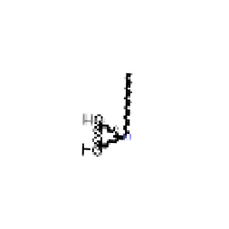 CCCCCCCCCCCC/C=C\C(CCCC(=O)O)SCCC(=O)O